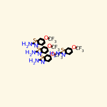 Nc1nc2ccc(OC(F)(F)F)cc2s1.Nc1nc2ccc(OC(F)(F)F)cc2s1.Nc1nc2ccc(OC(F)(F)F)cc2s1.Nc1nc2ccc(OC(F)(F)F)cc2s1